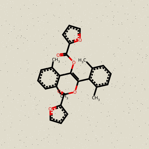 Cc1cccc(C)c1C(OC(=O)c1ccco1)=C(OC(=O)c1ccco1)c1c(C)cccc1C